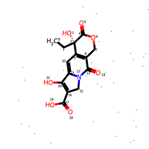 CC[C@@]1(O)C(=O)OCc2c1cc1n(c2=O)CC(C(=O)O)=C1O